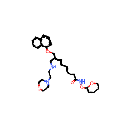 O=C(CCCC/C=C(\CNCCN1CCOCC1)COc1cccc2ccccc12)NOC1CCCCO1